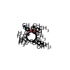 CC[C@H]1OC(=O)[C@H](C)[C@@H](O[C@H]2C[C@@](C)(OC)[C@@H](O)CO2)[C@H](C)[C@@H](O[C@@H]2O[C@H](C)C[C@H](N(C)C)[C@H]2OC(=O)Cc2ccc(OC)cc2)[C@](C)(O)CCCN(C)[C@H](C)[C@@H](O)[C@]1(C)O